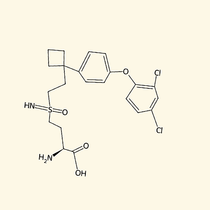 N=S(=O)(CC[C@H](N)C(=O)O)CCC1(c2ccc(Oc3ccc(Cl)cc3Cl)cc2)CCC1